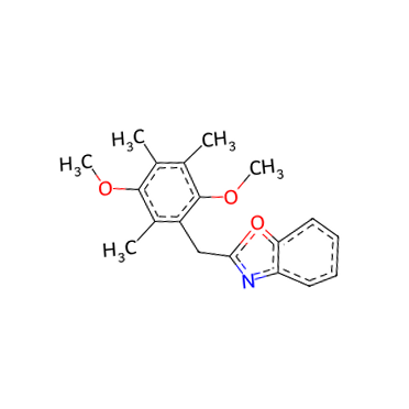 COc1c(C)c(C)c(OC)c(Cc2nc3ccccc3o2)c1C